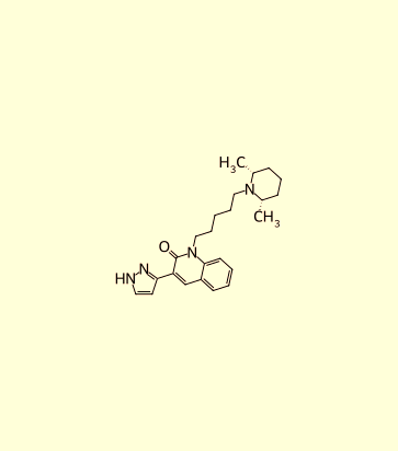 C[C@@H]1CCC[C@H](C)N1CCCCCn1c(=O)c(-c2cc[nH]n2)cc2ccccc21